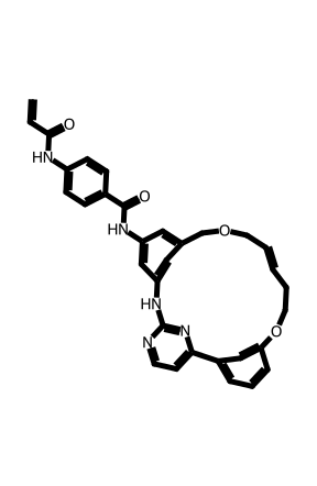 C=CC(=O)Nc1ccc(C(=O)Nc2cc3cc(c2)Nc2nccc(n2)-c2cccc(c2)OCC/C=C/COC3)cc1